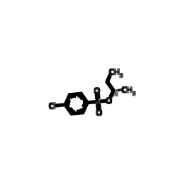 CC[C@H](C)OS(=O)(=O)c1ccc(Cl)cc1